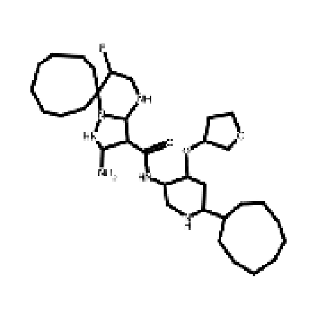 NC1NN2C(NCC(F)C23CCCCCCCC3)C1C(=O)NC1CNC(C2CCCCCCCC2)CC1OC1CCOC1